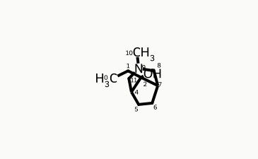 CCC1(O)C2CCC1CN(C)C2